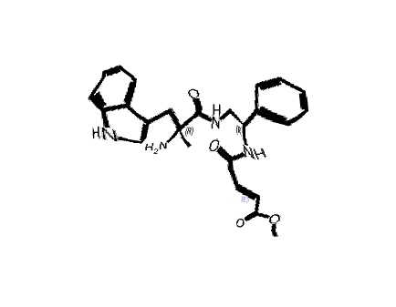 COC(=O)/C=C/C(=O)N[C@@H](CNC(=O)[C@](C)(N)Cc1c[nH]c2ccccc12)c1ccccc1